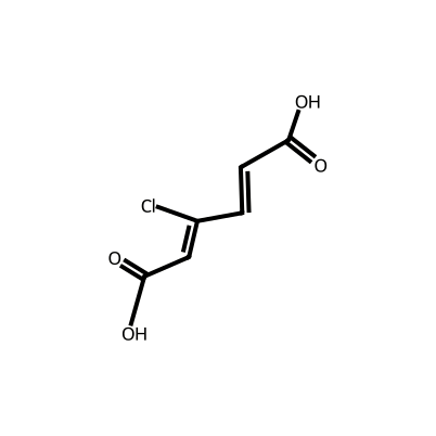 O=C(O)C=CC(Cl)=CC(=O)O